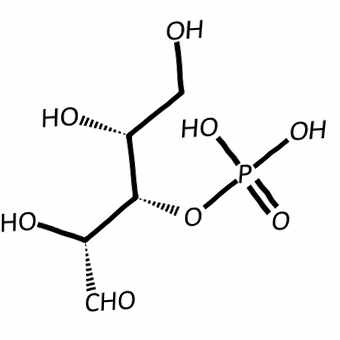 O=C[C@H](O)[C@@H](OP(=O)(O)O)[C@H](O)CO